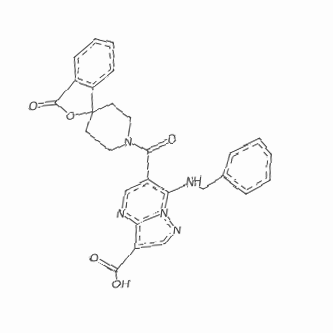 O=C1OC2(CCN(C(=O)c3cnc4c(C(=O)O)cnn4c3NCc3ccccc3)CC2)c2ccccc21